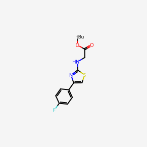 CC(C)(C)OC(=O)CNc1nc(-c2ccc(F)cc2)cs1